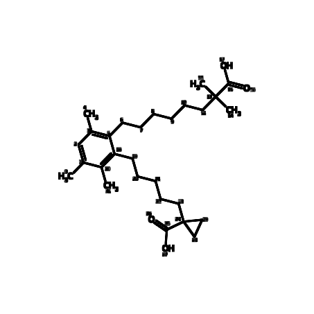 Cc1cc(C)c(CCCCCCC(C)(C)C(=O)O)c(CCCCCC2(C(=O)O)CC2)c1C